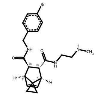 CNCCNC(=O)[C@H]1[C@H](C(=O)NCc2ccc(Br)cc2)[C@@H]2C=C[C@H]1C21CC1